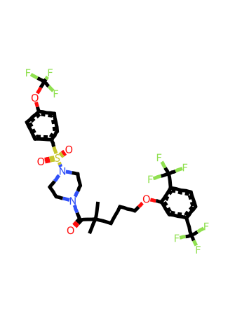 CC(C)(CCCOc1cc(C(F)(F)F)ccc1C(F)(F)F)C(=O)N1CCN(S(=O)(=O)c2ccc(OC(F)(F)F)cc2)CC1